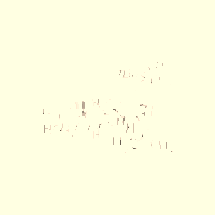 C=C(C)[C@@H]1CC[C@]2(CO[Si](C)(C)C(C)(C)C)CC[C@]3(C)[C@H](CC[C@@H]4[C@@]5(C)CC[C@H](O)C(C)(C)[C@@H]5CC[C@]43C)[C@@H]12